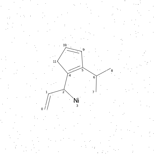 C=C[CH]([Ni])C1=C(C(C)C)C=CC1